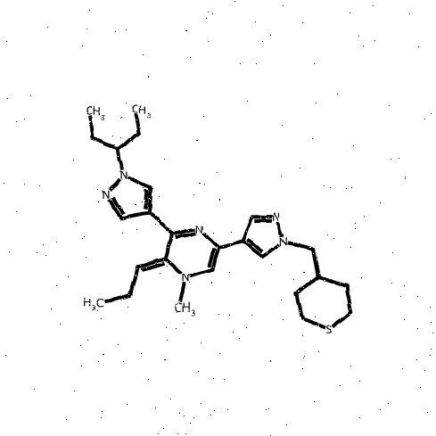 CC/C=C1/C(c2cnn(C(CC)CC)c2)=NC(c2cnn(CC3CCSCC3)c2)=CN1C